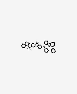 CC1(C)c2cc(N(c3ccccc3)c3cccc4c3oc3c(-c5ccccc5)cccc34)ccc2-c2cc3c(cc21)-c1ccc2ccccc2c1C3(C)C